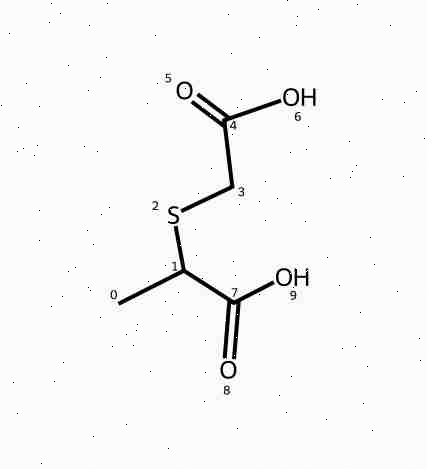 CC(SCC(=O)O)C(=O)O